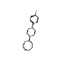 Cc1ccc(N2CCN(C3CCCCCC3)CC2)cc1